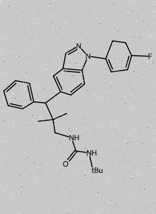 CC(C)(C)NC(=O)NCC(C)(C)C(c1ccccc1)c1ccc2c(cnn2C2=CC=C(F)CC2)c1